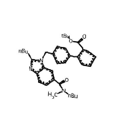 CCCCc1nc2ccc(C(=O)N(C)CCCC)cc2n1Cc1ccc(-c2ccccc2C(=O)OC(C)(C)C)cc1